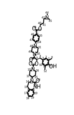 Cc1cc(C[C@@H](OC(=O)N2CCC(N3CCc4ccccc4NC3=O)CC2)C(=O)N2CCN(c3ccc(C(=O)OCCCN(C)C)cc3)CC2)cc(C)c1O